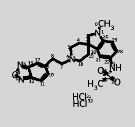 CN1CC2(CCN(CCc3ccc4nonc4c3)CC2)c2cc(NS(C)(=O)=O)ccc21.Cl.Cl